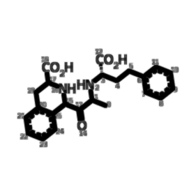 CC(N[C@@H](CCc1ccccc1)C(=O)O)C(=O)C1NC(C(=O)O)Cc2ccccc21